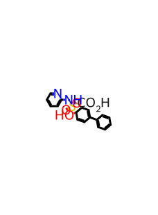 O=C(O)C1C=C(c2ccccc2)C=CC1(O)S(=O)(=O)Nc1ccccn1